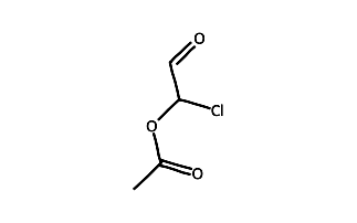 CC(=O)OC(Cl)C=O